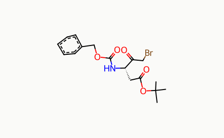 CC(C)(C)OC(=O)C[C@H](NC(=O)OCc1ccccc1)C(=O)CBr